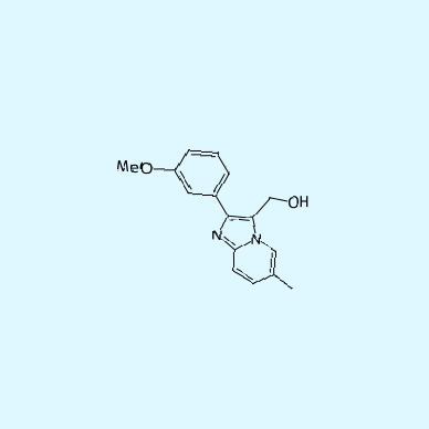 COc1cccc(-c2nc3ccc(C)cn3c2CO)c1